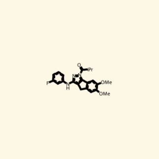 COc1cc2c(cc1OC)-c1c(c(Nc3cccc(F)c3)nn1C(=O)C(C)C)C2